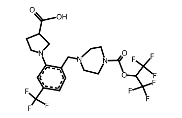 O=C(O)C1CCN(c2cc(C(F)(F)F)ccc2CN2CCN(C(=O)OC(C(F)(F)F)C(F)(F)F)CC2)C1